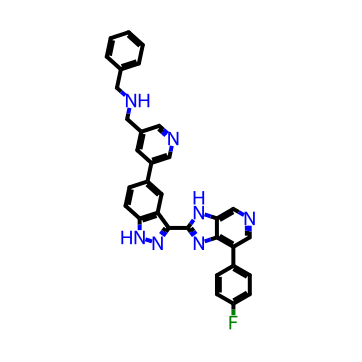 Fc1ccc(-c2cncc3[nH]c(-c4n[nH]c5ccc(-c6cncc(CNCc7ccccc7)c6)cc45)nc23)cc1